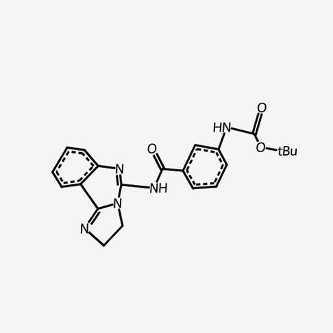 CC(C)(C)OC(=O)Nc1cccc(C(=O)NC2=Nc3ccccc3C3=NCCN23)c1